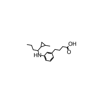 CCCC(Nc1cccc(CCCC(=O)O)c1)C1CC1C